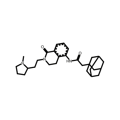 CN1CCCC1CCN1CCc2c(NC(=O)CC34CC5CC(CC(C5)C3)C4)cccc2C1=O